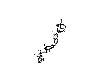 O=C1COc2ncc(N3CC4(CCN(CC5Cc6cc(NC(=O)C7CC(O)CN7)cc(F)c6C5)CC4)OC3=O)nc2N1